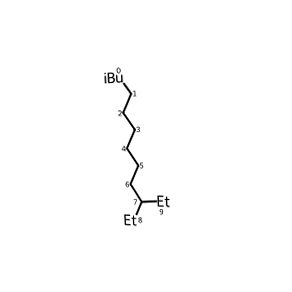 [CH2]CC(C)CCCCCCC(CC)CC